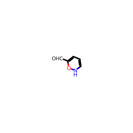 O=CC1=CC=CNO1